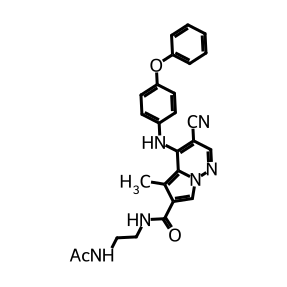 CC(=O)NCCNC(=O)c1cn2ncc(C#N)c(Nc3ccc(Oc4ccccc4)cc3)c2c1C